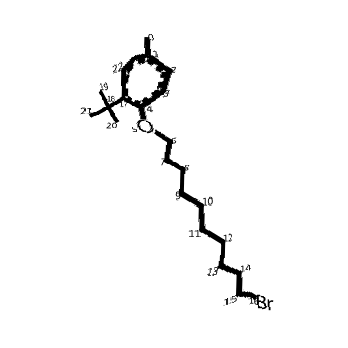 Cc1ccc(OCCCCCCCCCCBr)c(C(C)(C)C)c1